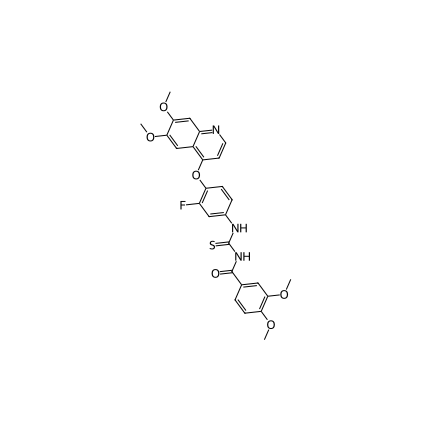 COc1ccc(C(=O)NC(=S)Nc2ccc(Oc3ccnc4cc(OC)c(OC)cc34)c(F)c2)cc1OC